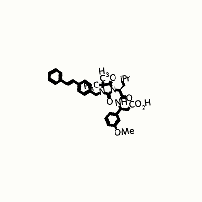 COc1cccc(C(CC(=O)O)NC(=O)[C@H](CC(C)C)N2C(=O)N(Cc3ccc(/C=C/c4ccccc4)cc3)C(C)(C)C2=O)c1